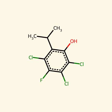 CC(C)c1c(O)c(Cl)c(Cl)c(F)c1Cl